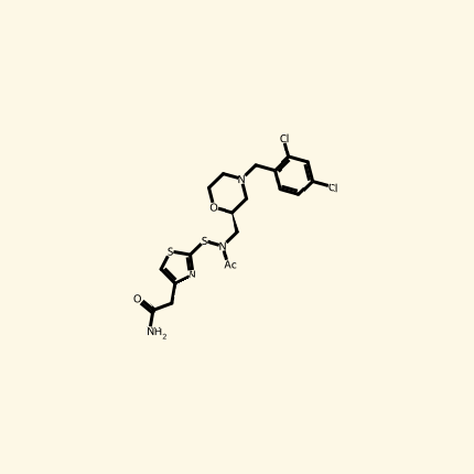 CC(=O)N(C[C@@H]1CN(Cc2ccc(Cl)cc2Cl)CCO1)Sc1nc(CC(N)=O)cs1